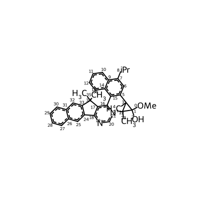 COC1(O)C2(C)c3cc(C(C)C)c4ccccc4c3-c3c4c(nc[n+]3C12C)-c1cc2ccccc2cc1C4(C)C